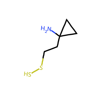 NC1(CCSS)CC1